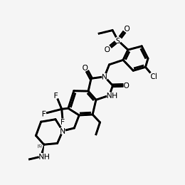 CCc1c(CN2CCC[C@H](NC)C2)c(C(F)(F)F)cc2c(=O)n(Cc3cc(Cl)ccc3S(=O)(=O)CC)c(=O)[nH]c12